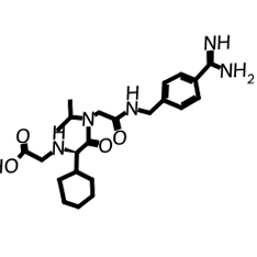 CC(C)N(CC(=O)NCc1ccc(C(=N)N)cc1)C(=O)[C@H](NCC(=O)O)C1CCCCC1